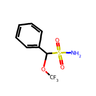 NS(=O)(=O)C(OC(F)(F)F)c1ccccc1